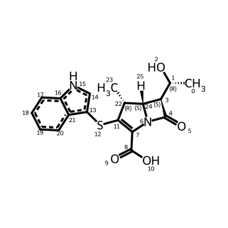 C[C@@H](O)[C@H]1C(=O)N2C(C(=O)O)=C(Sc3c[nH]c4ccccc34)[C@H](C)[C@H]12